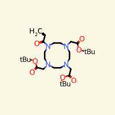 C=CC(=O)N1CCN(CC(=O)OC(C)(C)C)CCN(CC(=O)OC(C)(C)C)CCN(CC(=O)OC(C)(C)C)CC1